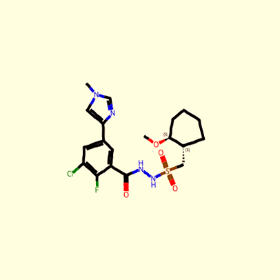 CO[C@H]1CCCC[C@@H]1CS(=O)(=O)NNC(=O)c1cc(-c2cn(C)cn2)cc(Cl)c1F